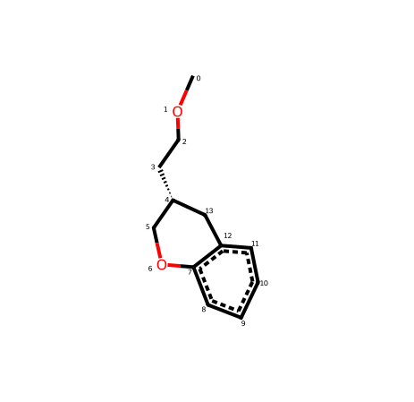 COCC[C@H]1COc2ccccc2C1